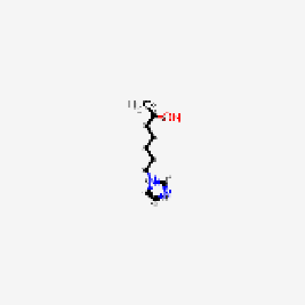 CC(O)CCCCCn1ccnc1